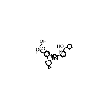 O=S(=O)(CCO)Nc1ccc(-n2cc(-c3cccc(C(O)C4CCCC4)n3)nn2)c(N2CCC3(CC2)CC3)c1